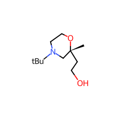 CC(C)(C)N1CCO[C@](C)(CCO)C1